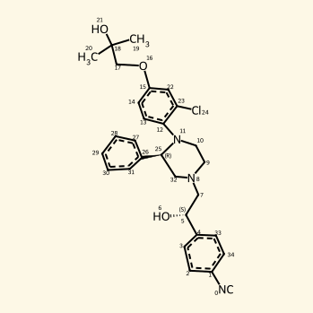 [C-]#[N+]c1ccc([C@H](O)CN2CCN(c3ccc(OCC(C)(C)O)cc3Cl)[C@H](c3ccccc3)C2)cc1